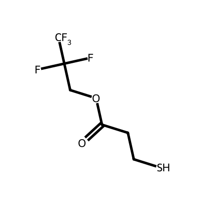 O=C(CCS)OCC(F)(F)C(F)(F)F